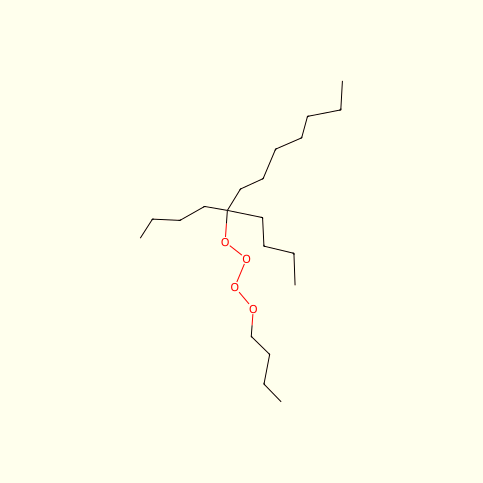 CCCCCCCC(CCCC)(CCCC)OOOOCCCC